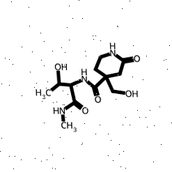 CNC(=O)C(NC(=O)C1(CO)CCNC(=O)C1)C(C)O